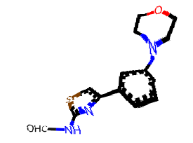 O=CNc1nc(-c2cccc(N3CCOCC3)c2)cs1